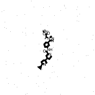 C[C@@H](C(=O)OC(C)(C)C)n1cnnc1-c1cccc(NC(=O)c2cc(-c3ccc(C4CC4)nc3)ccn2)c1